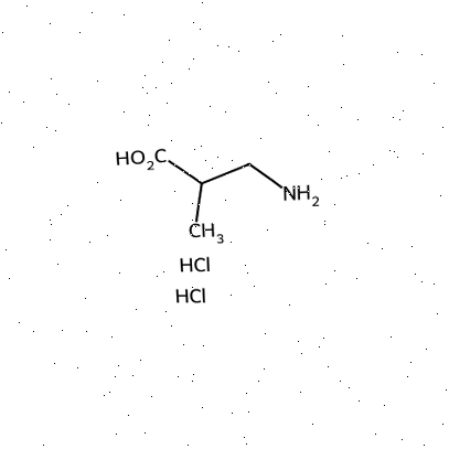 CC(CN)C(=O)O.Cl.Cl